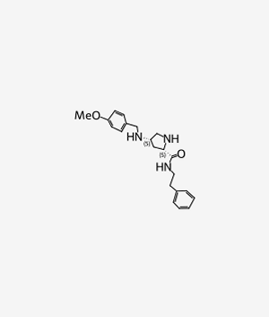 COc1ccc(CN[C@@H]2CN[C@H](C(=O)NCCc3ccccc3)C2)cc1